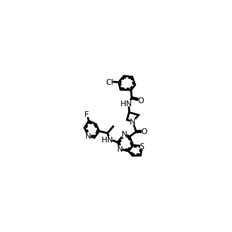 CC(Nc1nc(C(=O)N2CC(NC(=O)c3cccc(Cl)c3)C2)c2sccc2n1)c1cncc(F)c1